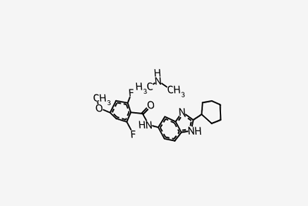 CNC.COc1cc(F)c(C(=O)Nc2ccc3[nH]c(C4CCCCC4)nc3c2)c(F)c1